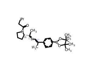 C/C(=C\N=C(/C)[C@@H]1CCCN1C(=O)CC(C)C)c1ccc(B2OC(C)(C)C(C)(C)O2)cc1